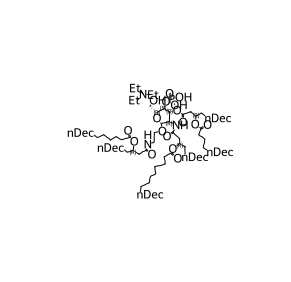 CCCCCCCCCCCCCCCCCC(=O)O[C@H](CCCCCCCCCCC)CC(=O)N[C@H]1C(OCCNC(=O)C[C@@H](CCCCCCCCCCC)OC(=O)CCCCCCCCCCCCCCC)O[C@H](CO)[C@@H](OP(=O)(O)O)[C@@H]1OC(=O)C[C@@H](CCCCCCCCCCC)OC(=O)CCCCCCCCCCCCC.CCN(CC)CC